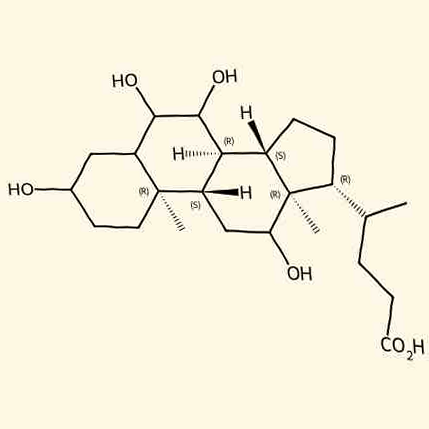 CC(CCC(=O)O)[C@H]1CC[C@H]2[C@@H]3C(O)C(O)C4CC(O)CC[C@]4(C)[C@H]3CC(O)[C@]12C